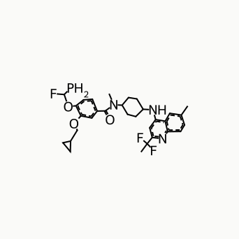 Cc1ccc2nc(C(C)(F)F)cc(NC3CCC(N(C)C(=O)c4ccc(OC(F)P)c(OCC5CC5)c4)CC3)c2c1